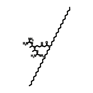 CCCCCCCCCCCCCCCCCCN(CCCCCCCCCCCCCCCCCC)C(=O)CNCCN(C(C)N=C(N)N)C(C)N=C(N)N